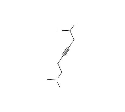 CCC(CC)CC#CCCN(C)CC